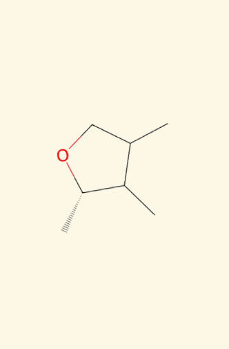 CC1CO[C@@H](C)C1C